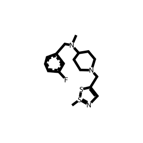 CN(Cc1cccc(F)c1)C1CCN(CC2=CN=S(C)S2)CC1